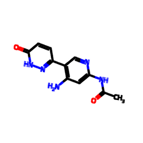 CC(=O)Nc1cc(N)c(-c2ccc(=O)[nH]n2)cn1